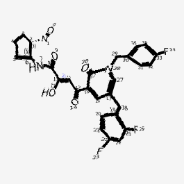 O=N[C@H]1CCC[C@@H]1NC(=O)/C(O)=C/C(=O)c1cc(Cc2ccc(F)cc2F)cn(Cc2ccc(F)cc2)c1=O